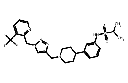 CC(C)S(=O)(=O)Nc1cccc(C2CCN(Cc3cn(Cc4ncccc4C(F)(F)F)nn3)CC2)c1